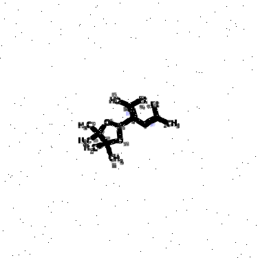 CC/C(C)=C\C(B1OC(C)(C)C(C)(C)O1)=C(\O)CC